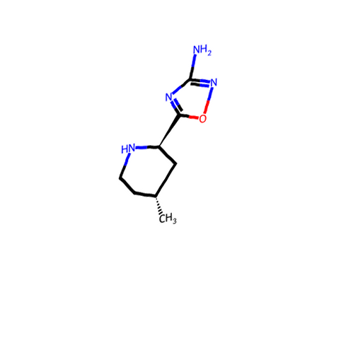 C[C@@H]1CCN[C@@H](c2nc(N)no2)C1